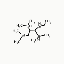 CC[SiH2]C(C(C[SiH](C)C)[SiH](C)C)[SiH](C)C